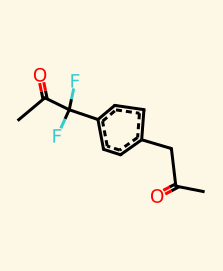 CC(=O)Cc1ccc(C(F)(F)C(C)=O)cc1